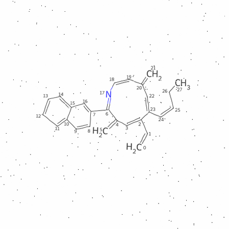 C=Cc1cc(=C)c(-c2ccc3ccccc3c2)nccc(=C)cc1/C=C\CC